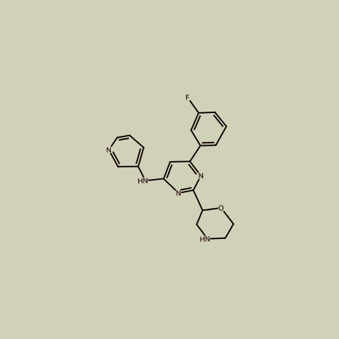 Fc1cccc(-c2cc(Nc3cccnc3)nc(C3CNCCO3)n2)c1